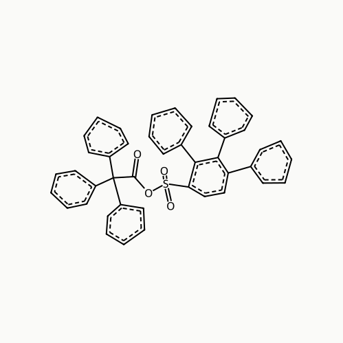 O=C(OS(=O)(=O)c1ccc(-c2ccccc2)c(-c2ccccc2)c1-c1ccccc1)C(c1ccccc1)(c1ccccc1)c1ccccc1